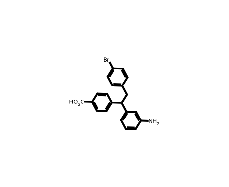 Nc1cccc([C](Cc2ccc(Br)cc2)c2ccc(C(=O)O)cc2)c1